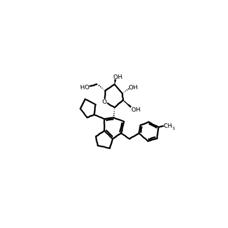 Cc1ccc(Cc2cc([C@@H]3O[C@H](CO)[C@@H](O)[C@H](O)[C@H]3O)c(C3CCCC3)c3c2CCC3)cc1